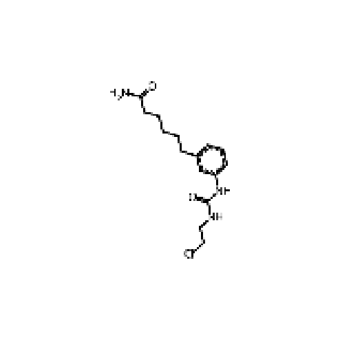 NC(=O)CCCCCc1cccc(NC(=O)NCCCl)c1